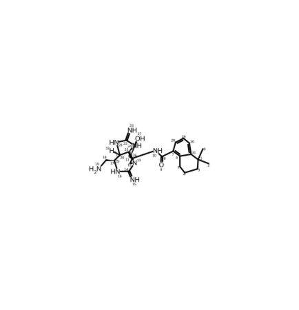 CC1(C)CCCc2c(C(=O)NC3CN4C(=N)N[C@@H](CN)[C@@H]5NC(=N)N[C@@]54[C@@H]3O)cccc21